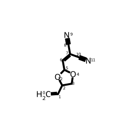 C=CC1COC(C=C(C#N)C#N)O1